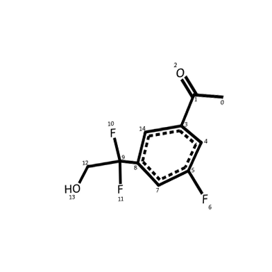 CC(=O)c1cc(F)cc(C(F)(F)CO)c1